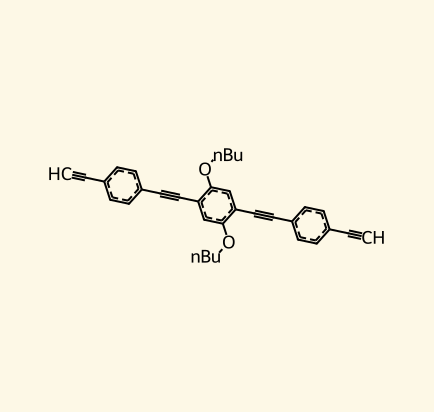 C#Cc1ccc(C#Cc2cc(OCCCC)c(C#Cc3ccc(C#C)cc3)cc2OCCCC)cc1